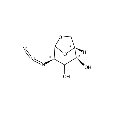 [N-]=[N+]=N[C@H]1C2OC[C@@H](O2)[C@@H](O)C1O